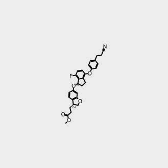 COC(=O)CC[C@@H]1COc2cc(O[C@@H]3CCc4c(Oc5ccc(CCC#N)cc5)ccc(F)c43)ccc21